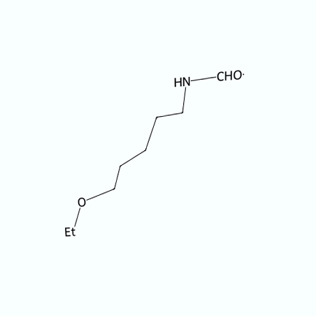 CCOCCCCCN[C]=O